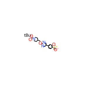 CC(C)(C)OC(=O)N1CCC(COc2ncc(-c3ccc4c(c3)OC[S@+]4[O-])cn2)CC1